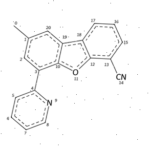 Cc1cc(-c2ccccn2)c2oc3c(C#N)cccc3c2c1